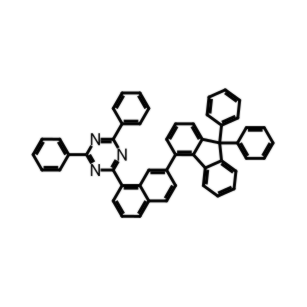 c1ccc(-c2nc(-c3ccccc3)nc(-c3cccc4ccc(-c5cccc6c5-c5ccccc5C6(c5ccccc5)c5ccccc5)cc34)n2)cc1